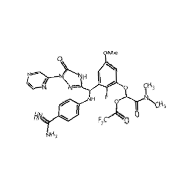 COc1cc(OC(OC(=O)C(F)(F)F)C(=O)N(C)C)c(F)c(C(Nc2ccc(C(=N)N)cc2)c2nn(-c3cnccn3)c(=O)[nH]2)c1